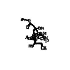 CC(=O)O.CC(=O)O.CC(=O)OCC(O)CO.CC(C)OC(=O)CC(O)(CC(=O)O)C(=O)O